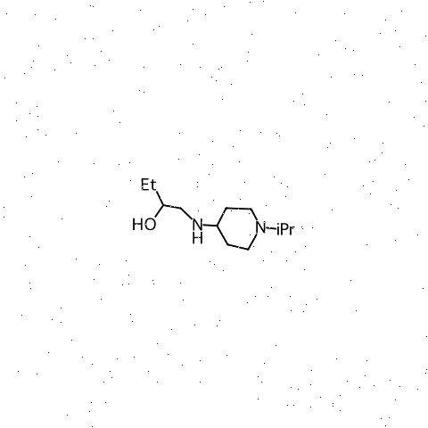 CCC(O)CNC1CCN(C(C)C)CC1